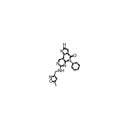 Cc1cc(CNc2ncc3c4n[nH]cc4c(=O)n(-c4ccccc4)c3n2)no1